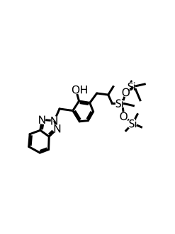 CC(Cc1cccc(Cn2nc3ccccc3n2)c1O)C[Si](C)(O[Si](C)(C)C)O[Si](C)(C)C